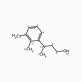 Cc1cccc(N(C)CCO)c1C